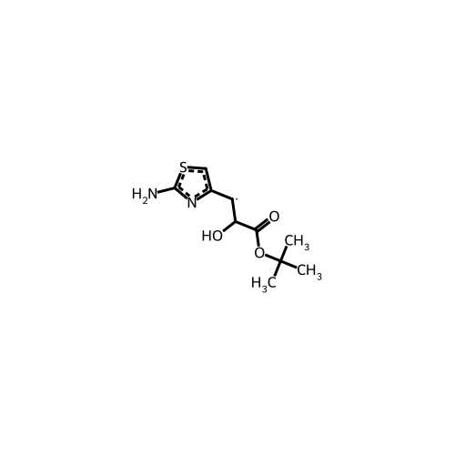 CC(C)(C)OC(=O)C(O)[CH]c1csc(N)n1